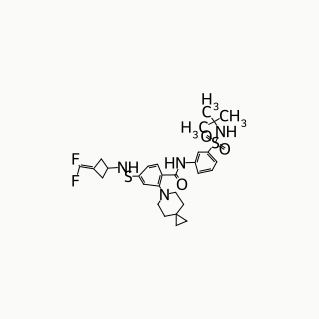 CC(C)(C)NS(=O)(=O)c1cccc(NC(=O)c2ccc(SNC3CC(=C(F)F)C3)cc2N2CCC3(CC2)CC3)c1